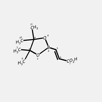 CC1(C)OB(C=CC(=O)O)OC1(C)C